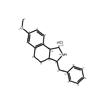 COc1ccc2c(c1)CCC1C(Cc3ccccc3)NCC21.Cl